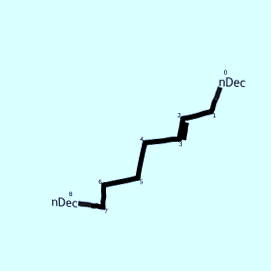 CCCCCCCCCCCC=CCCCCCCCCCCCCCC